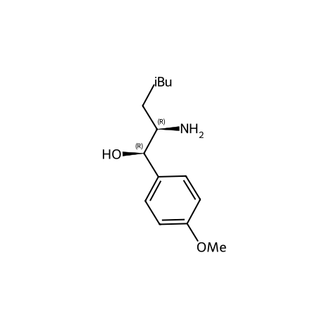 CCC(C)C[C@@H](N)[C@H](O)c1ccc(OC)cc1